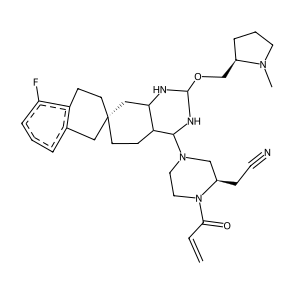 C=CC(=O)N1CCN(C2NC(OC[C@H]3CCCN3C)NC3C[C@]4(CCc5c(F)cccc5C4)CCC32)C[C@H]1CC#N